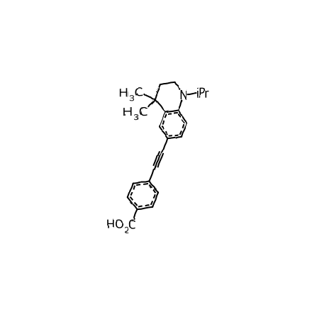 CC(C)N1CCC(C)(C)c2cc(C#Cc3ccc(C(=O)O)cc3)ccc21